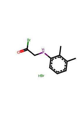 Br.Cc1cccc(PCC(=O)Br)c1C